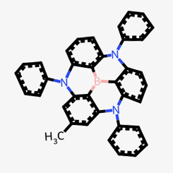 Cc1cc2c3c(c1)N(c1ccccc1)c1cccc4c1B3c1c(cccc1N2c1ccccc1)N4c1ccccc1